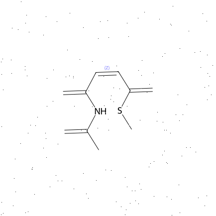 C=C(C)NC(=C)/C=C\C(=C)SC